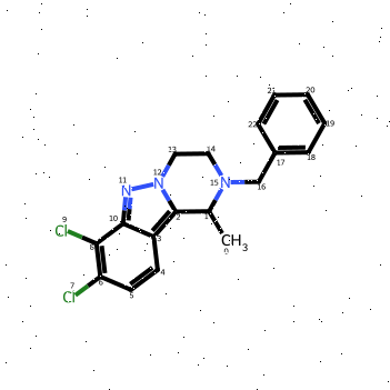 CC1c2c3ccc(Cl)c(Cl)c3nn2CCN1Cc1ccccc1